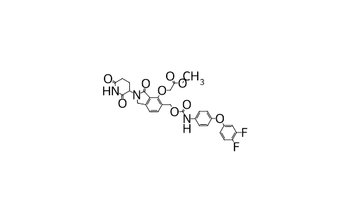 COC(=O)COc1c(COC(=O)Nc2ccc(Oc3ccc(F)c(F)c3)cc2)ccc2c1C(=O)N(C1CCC(=O)NC1=O)C2